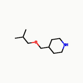 CC(C)COCC1CCNCC1